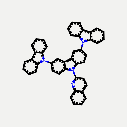 c1ccc2nc(-n3c4ccc(-n5c6ccccc6c6ccccc65)cc4c4cc(-n5c6ccccc6c6ccccc65)ccc43)ccc2c1